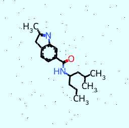 CCCC(CC(C)C)NC(=O)c1ccc2c(c1)N=C(C)C2